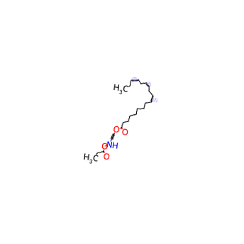 CC/C=C\C/C=C\C/C=C\CCCCCCCC(=O)OC#CNOC(=O)CC